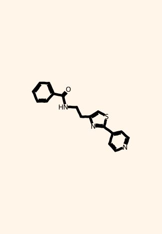 O=C(NCCc1csc(-c2ccncc2)n1)c1ccccc1